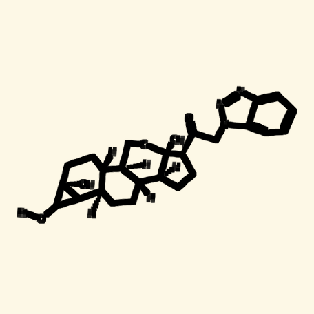 CCOC1C2[C@@H]3CC[C@@H]4[C@H](CC[C@]5(C)[C@@H](C(=O)Cn6nnc7ccccc76)CC[C@@H]45)[C@H]3CC[C@]12O